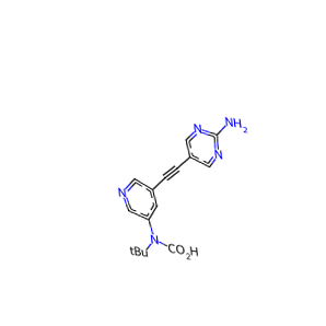 CC(C)(C)N(C(=O)O)c1cncc(C#Cc2cnc(N)nc2)c1